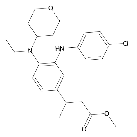 CCN(c1ccc(C(C)CC(=O)OC)cc1Nc1ccc(Cl)cc1)C1CCOCC1